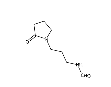 O=CNCCCN1CCCC1=O